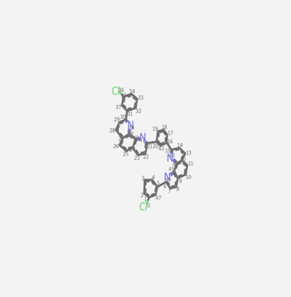 Clc1cccc(-c2ccc3ccc4ccc(-c5cccc(-c6ccc7ccc8ccc(-c9cccc(Cl)c9)nc8c7n6)c5)nc4c3n2)c1